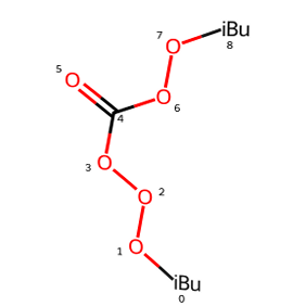 CCC(C)OOOC(=O)OOC(C)CC